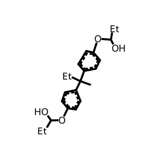 CCC(O)Oc1ccc(C(C)(CC)c2ccc(OC(O)CC)cc2)cc1